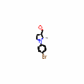 C[C@H]1C(C=O)CCN1c1ccc(Br)cc1